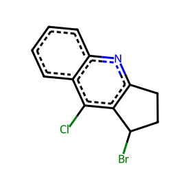 Clc1c2c(nc3ccccc13)CCC2Br